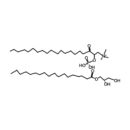 CCCCCCCCCCCCCCCCCC(=O)C(C[N+](C)(C)C)OP(=O)(O)O.CCCCCCCCCCCCCCCCCC(=O)OC[C@@H](O)CO